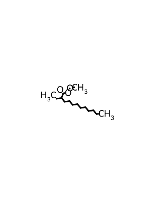 CCCCCCCCCCC(CC)C(=O)OOC